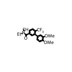 CCN(C)C(=O)c1ccc(C(F)(F)F)c(-c2ccc(OC)c(OC)c2)c1